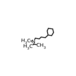 CC(C)N(C)CCCCC1CCCCC1